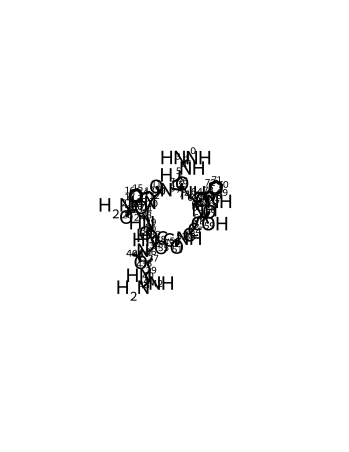 CNC(=N)NCCC[C@@H]1NC(=O)C(Cc2ccccc2)NC(=O)[C@H](CCC(N)=O)NC(=O)C(NC(=O)[C@H](CCCNC(=N)N)NC(C)=O)CCC(=O)NCCCC(C(=O)O)NC(=O)[C@H](Cc2c[nH]c3ccccc23)NC1=O